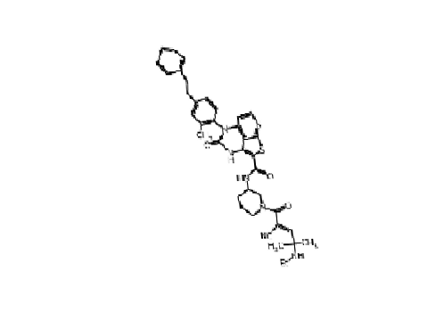 CCNC(C)(C)/C=C(\C#N)C(=O)N1CCC[C@@H](NC(=O)c2sc3nccc4c3c2NC(=O)N4c2ccc(CCc3ccccc3)cc2C)C1